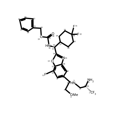 COCC(NC[C@H](N)C(F)(F)F)c1cc(F)c2oc([C@@H](NC(=O)OCc3ccccc3)C3CCC(F)(F)CC3)nc2c1